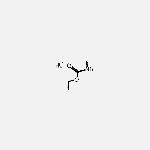 CCOC(=O)NC.Cl